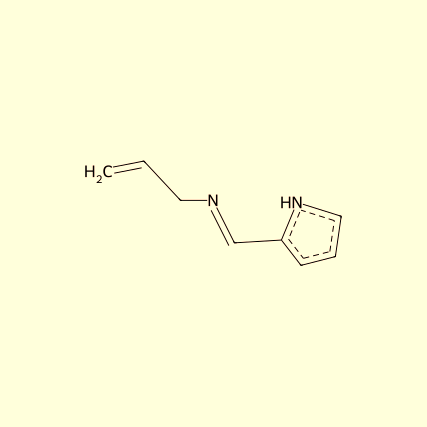 C=CCN=Cc1ccc[nH]1